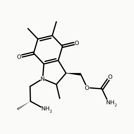 CC1=C(C)C(=O)C2=C(C1=O)[C@@H](COC(N)=O)C(C)N2C[C@@H](C)N